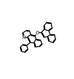 c1ccc(-c2c3ccccc3c(Oc3cc4ccccc4c4ccccc34)c3cccnc23)cc1